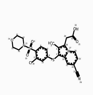 Cc1c(Sc2ccc(S(=O)(=O)N3CCOCC3)c(Cl)c2)c2cc(C#N)ccn2c1CC(=O)O